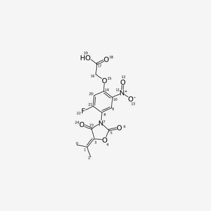 CC(C)=C1OC(=O)N(c2cc([N+](=O)[O-])c(OCC(=O)O)cc2F)C1=O